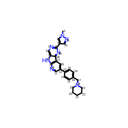 Cn1cc(-c2ncc3[nH]c4ncc(-c5ccc(CN6CCCCC6)cc5)cc4c3n2)cn1